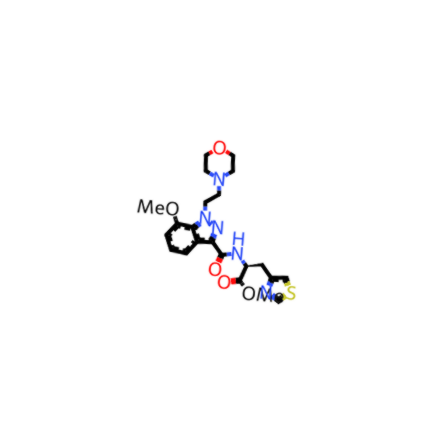 COC(=O)[C@H](Cc1cscn1)NC(=O)c1nn(CCN2CCOCC2)c2c(OC)cccc12